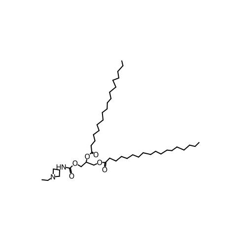 CCCCCCCCCCCCCCCCCC(=O)OCC(COC(=O)NC1CN(CC)C1)OC(=O)CCCCCCCCCCCCCCCCC